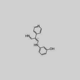 N=C/C(=C\Nc1cccc(O)c1)c1ccncc1